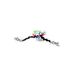 CCCCCCCCCCCCCCCCCC(=O)C(C=O)[N+](C)(C)C(C=O)C(=O)CCCCCCCCCCCCCCCCC.[Cl-]